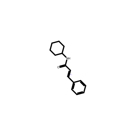 O=C(/C=C/c1ccccc1)NC1CCCCC1